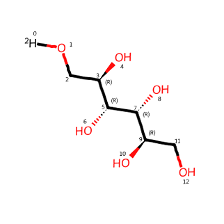 [2H]OC[C@@H](O)[C@@H](O)[C@H](O)[C@H](O)CO